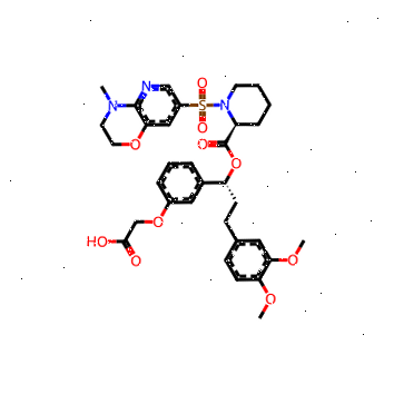 COc1ccc(CC[C@@H](OC(=O)[C@@H]2CCCCN2S(=O)(=O)c2cnc3c(c2)OCCN3C)c2cccc(OCC(=O)O)c2)cc1OC